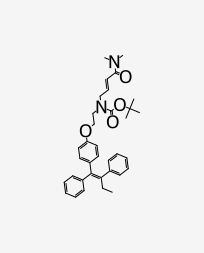 CC/C(=C(\c1ccccc1)c1ccc(OCCN(C/C=C/C(=O)N(C)C)C(=O)OC(C)(C)C)cc1)c1ccccc1